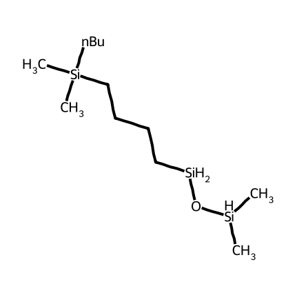 CCCC[Si](C)(C)CCCC[SiH2]O[SiH](C)C